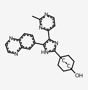 Cc1nccc(-c2nc(C34CCC(O)(CC3)CC4)[nH]c2-c2ccc3nccnc3c2)n1